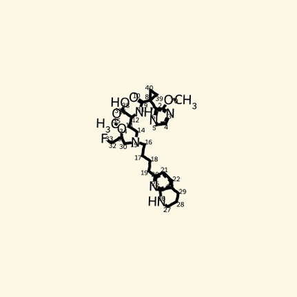 COc1nccnc1C1(C(=O)NC(CCN(CCCCc2ccc3c(n2)NCCC3)CC(CF)OC)C(=O)O)CC1